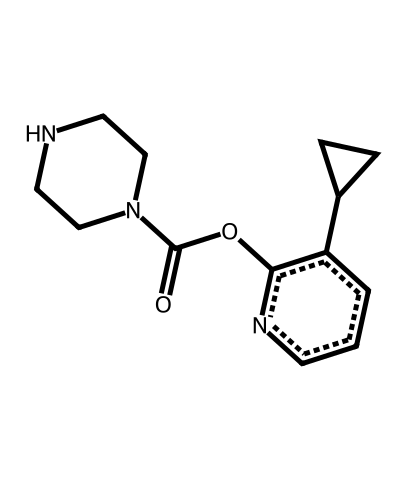 O=C(Oc1ncccc1C1CC1)N1CCNCC1